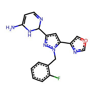 NC1=CC=NC(c2cc(-c3cocn3)n(Cc3ccccc3F)n2)N1